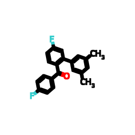 Cc1cc(C)cc(-c2cc(F)ccc2C(=O)c2ccc(F)cc2)c1